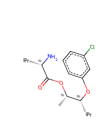 CC(C)[C@H](N)C(=O)O[C@@H](C)[C@H](Oc1cccc(Cl)c1)C(C)C